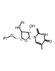 C=C1NC(=O)C(C)=CN1[C@@H]1O[C@H](COC(C)C)C(NC(C)C)[C@@H]1O